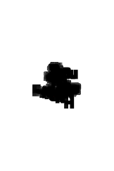 C[C@@H]1Cc2c([nH]c3ccccc23)[C@@H](c2cnc(O[C@@H]3CCCN(CCCF)C3)s2)N1CC(F)(F)CO[Si](c1ccccc1)(c1ccccc1)C(C)(C)C